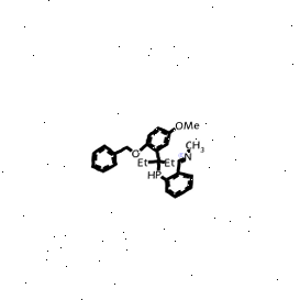 CCC(CC)(Pc1ccccc1/C=N/C)c1cc(OC)ccc1OCc1ccccc1